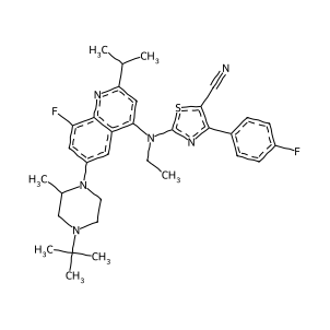 CCN(c1nc(-c2ccc(F)cc2)c(C#N)s1)c1cc(C(C)C)nc2c(F)cc(N3CCN(C(C)(C)C)CC3C)cc12